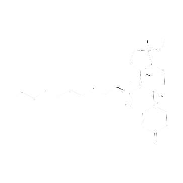 C[C@]1(CC(=O)O)CC[C@H]2[C@@H]3[C@H](CCCCCCCCCO)[C@@H](O)C4=CC(=O)CC[C@]4(C)[C@H]3CC[C@@]21C